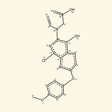 COc1ccc(Oc2ccc3c(O)c(N(C=O)CC(=O)O)nc(Cl)c3n2)cc1